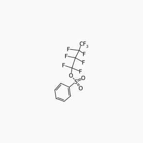 O=S(=O)(OC(F)(F)C(F)(F)C(F)(F)C(F)(F)F)c1ccccc1